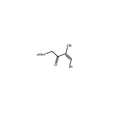 CCCCCCCC(=O)/C(C#N)=C\C(C)C